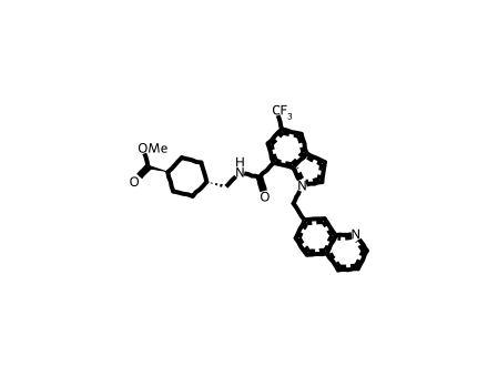 COC(=O)[C@H]1CC[C@H](CNC(=O)c2cc(C(F)(F)F)cc3ccn(Cc4ccc5cccnc5c4)c23)CC1